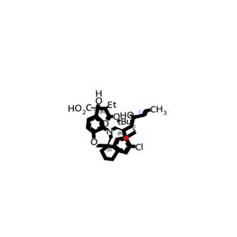 C/C=C/[C@H](O)[C@@H]1CC[C@H]1CN1C[C@@]2(CCCc3cc(Cl)ccc32)COc2ccc([C@](O)(C(=O)O)[C@@H](CC)C(=O)OC(C)(C)C)cc21